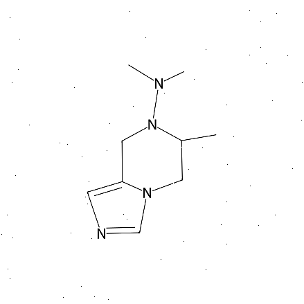 CC1Cn2cncc2CN1N(C)C